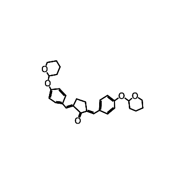 O=C1C(=Cc2ccc(OC3CCCCO3)cc2)CCC1=Cc1ccc(OC2CCCCO2)cc1